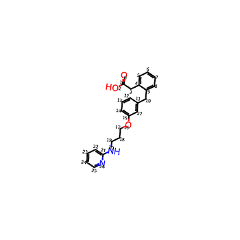 O=C(O)Cc1ccccc1Cc1cccc(OCCCNc2ccccn2)c1